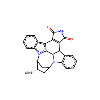 CN[C@H]1CC2CC1n1c3c(c4ccccc41)C1=C(C(=O)NC1=O)C1c4ccccc4N2C31